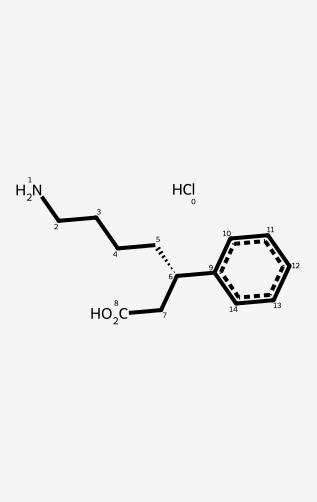 Cl.NCCCC[C@@H](CC(=O)O)c1ccccc1